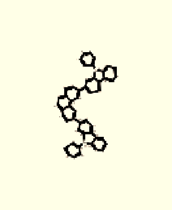 c1ccc(-n2c3ccccc3c3ccc(-c4ccc5ccc6ccc(-c7ccc8c9ccccc9n(-c9ccccc9)c8c7)cc6c5c4)cc32)cc1